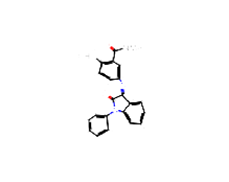 CNC(=O)c1cc(/N=C2\C(=O)N(c3ccccc3)c3ccccc32)ccc1C=O